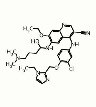 CCOc1cc2ncc(C#N)c(Nc3ccc(OCc4nccn4CC)c(Cl)c3)c2cc1NC(O)CCCN(C)C